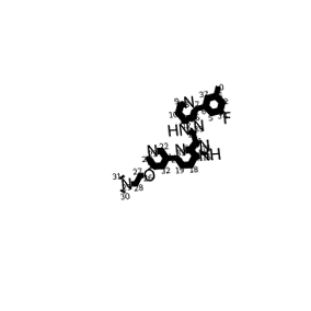 Cc1cc(F)cc(-c2nccc3[nH]c(-c4n[nH]c5ccc(-c6cncc(OCCN(C)C)c6)nc45)nc23)c1